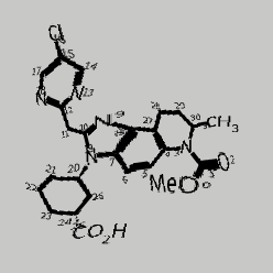 COC(=O)N1c2ccc3c(nc(Cc4ncc(Cl)cn4)n3[C@@H]3CCC[C@@H](C(=O)O)C3)c2CCC1C